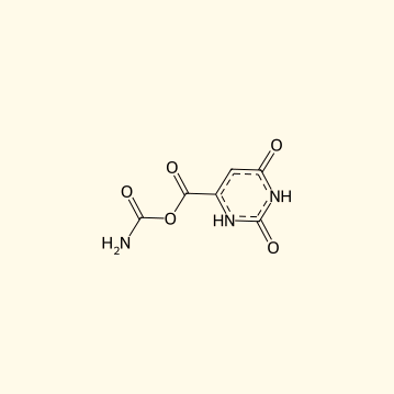 NC(=O)OC(=O)c1cc(=O)[nH]c(=O)[nH]1